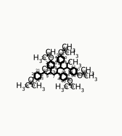 CCC(CC(CC(CC(CC(C)c1ccc(OC(C)C)cc1)c1ccc(OC(C)C)cc1)c1ccc(OC(C)C)cc1)c1ccc(OC(C)C)cc1)c1ccc(OC(C)C)cc1